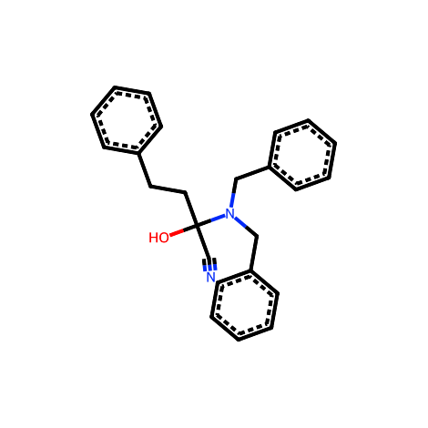 N#CC(O)(CCc1ccccc1)N(Cc1ccccc1)Cc1ccccc1